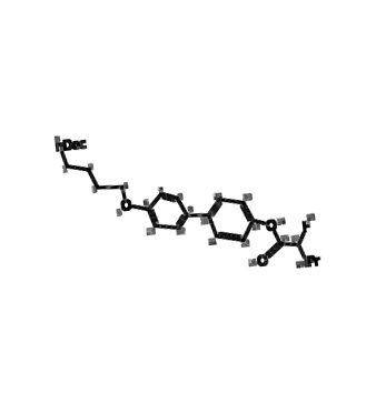 CCCCCCCCCCCCCCOc1ccc(-c2ccc(OC(=O)C(F)C(C)C)cc2)cc1